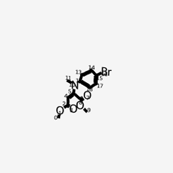 COC(=O)C=C(C(=O)OC)N(C)c1ccc(Br)cc1